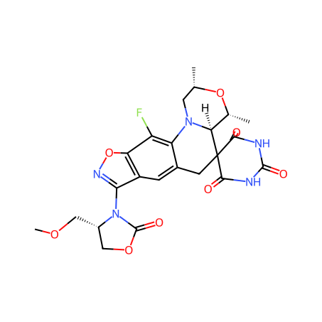 COC[C@H]1COC(=O)N1c1noc2c(F)c3c(cc12)CC1(C(=O)NC(=O)NC1=O)[C@@H]1[C@@H](C)O[C@@H](C)CN31